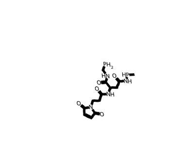 CPNC(=O)CC(NC(=O)CCN1C(=O)C=CC1=O)C(=O)NCP